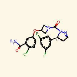 NC(=O)c1cc(OC2CN(C(=O)N3N=CC[C@H]3c3cc(F)cc(F)c3)C2)ccc1Cl